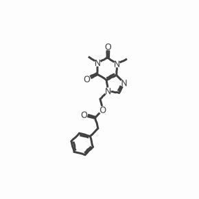 Cn1c(=O)c2c(ncn2COC(=O)Cc2ccccc2)n(C)c1=O